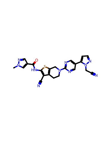 Cn1cc(C(=O)Nc2sc3c(c2C#N)CCN(c2ncc(-c4ccnn4CC#N)cn2)C3)cn1